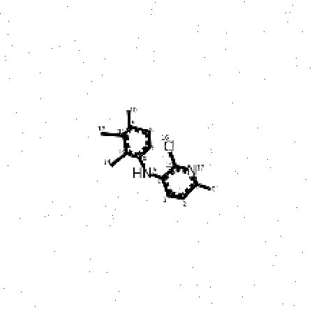 Cc1ccc(Nc2ccc(C)c(C)c2C)c(Cl)n1